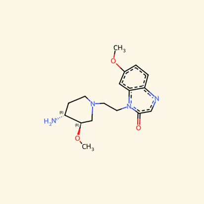 COc1ccc2ncc(=O)n(CCN3CC[C@@H](N)[C@H](OC)C3)c2c1